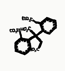 CCOC(=O)c1ccccc1C(CC(=O)O)(C(=O)O)c1ccccc1C(=O)OCC